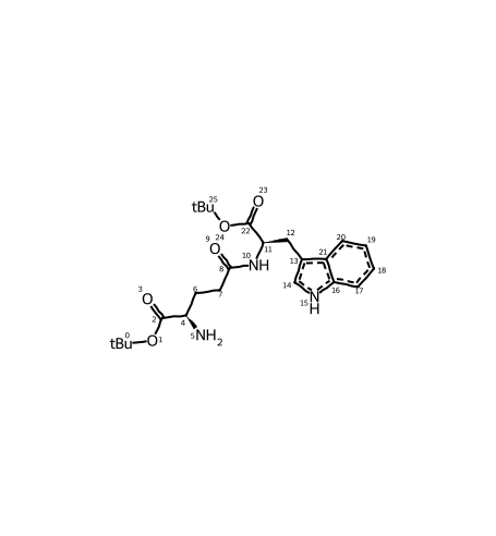 CC(C)(C)OC(=O)[C@H](N)CCC(=O)N[C@H](Cc1c[nH]c2ccccc12)C(=O)OC(C)(C)C